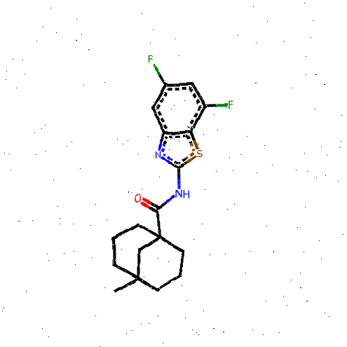 CC12CCCC(C(=O)Nc3nc4cc(F)cc(F)c4s3)(CCC1)C2